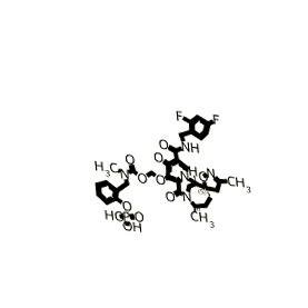 CC1=NO[C@@]2(CC[C@H](C)N3C[C@H]2n2cc(C(=O)NCc4ccc(F)cc4F)c(=O)c(OCOC(=O)N(C)Cc4ccccc4OP(=O)(O)O)c2C3=O)C1